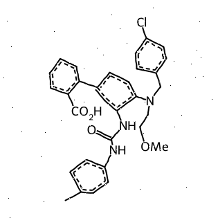 COCCN(Cc1ccc(Cl)cc1)c1ccc(-c2ccccc2C(=O)O)cc1NC(=O)Nc1ccc(C)cc1